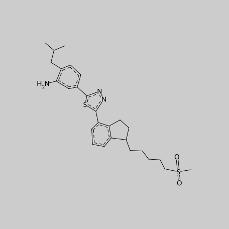 CC(C)Cc1ccc(-c2nnc(-c3cccc4c3CCC4CCCCCS(C)(=O)=O)s2)cc1N